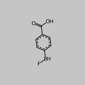 O=C(O)c1ccc(BF)cc1